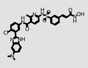 Cc1nc(NS(=O)(=O)c2cccc(/C=C/C(=O)NO)c2)ccc1C(=O)Nc1ccc(Cl)c(-c2nc3cc(N(C)C)ccc3[nH]2)c1